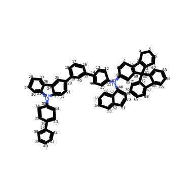 C1=CC2=C(CC1)c1ccc(N(c3ccc(-c4cccc(-c5ccc6c(c5)c5ccccc5n6-c5ccc(-c6ccccc6)cc5)c4)cc3)c3cccc4ccccc34)cc1C21c2ccccc2-c2ccccc21